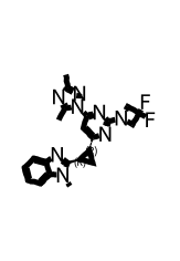 Cc1nc(C)n(-c2cc([C@@H]3C[C@H]3c3nc4ccccc4n3C)nc(N3CC(F)(F)C3)n2)n1